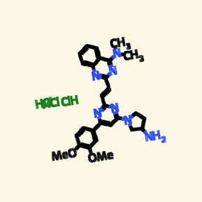 COc1ccc(-c2cc(N3CCC(N)C3)nc(C=Cc3nc(N(C)C)c4ccccc4n3)n2)cc1OC.Cl.Cl.Cl